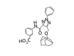 O=C(O)c1cccc(NC(=O)c2nn(-c3ccccc3)nc2COC23CC4CC(CC(C4)C2)C3)c1